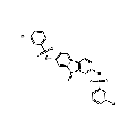 O=C1c2cc(NS(=O)(=O)c3cccc(O)c3)ccc2-c2ccc(NS(=O)(=O)c3cccc(O)c3)cc21